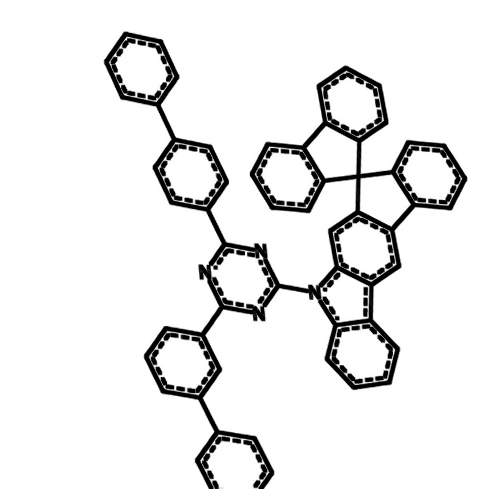 c1ccc(-c2ccc(-c3nc(-c4cccc(-c5ccccc5)c4)nc(-n4c5ccccc5c5cc6c(cc54)C4(c5ccccc5-c5ccccc54)c4ccccc4-6)n3)cc2)cc1